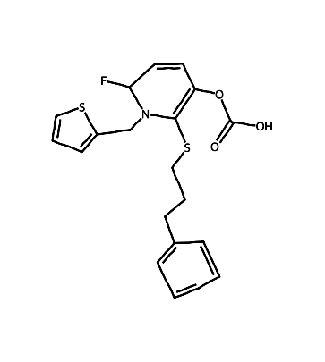 O=C(O)OC1=C(SCCCc2ccccc2)N(Cc2cccs2)C(F)C=C1